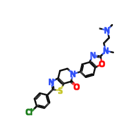 CN(C)CCN(C)c1nc2cc(N3CCc4nc(-c5ccc(Cl)cc5)sc4C3=O)ccc2o1